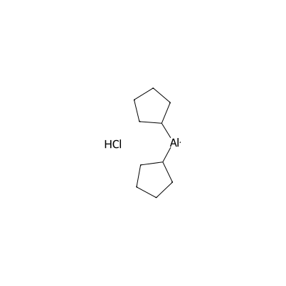 C1CC[CH]([Al][CH]2CCCC2)C1.Cl